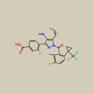 C=Nc1c(-c2ccc(C(=O)O)cc2F)nn(C(=O)c2c(C3(C(F)(F)F)CC3)ccc(F)c2C)c1/C=C\C